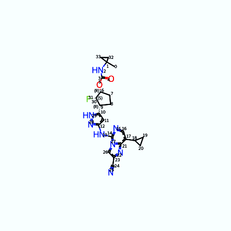 CC1(NC(=O)O[C@@H]2CC[C@H](c3cc(Nc4ncc(C5CC5)c5nc(C#N)cn45)n[nH]3)[C@@H]2F)CC1